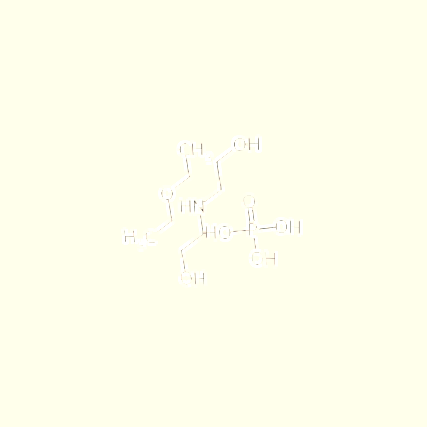 CCOCC.O=P(O)(O)O.OCCNCCO